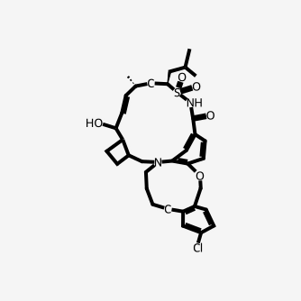 CC(C)C[C@@H]1C[C@@H](C)/C=C/C(O)C2CCC2CN2CCCCc3cc(Cl)ccc3COc3ccc(cc32)C(=O)NS1(=O)=O